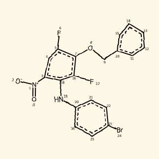 O=[N+]([O-])c1cc(F)c(OCc2ccccc2)c(F)c1Nc1ccc(Br)cc1